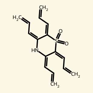 C=C/C=C1/NC(=C/C=C)/C(=C\C=C)S(=O)(=O)/C1=C/C=C